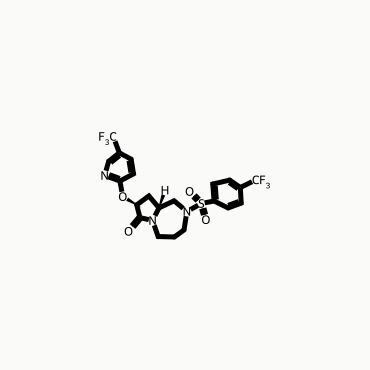 O=C1[C@@H](Oc2ccc(C(F)(F)F)cn2)C[C@@H]2CN(S(=O)(=O)c3ccc(C(F)(F)F)cc3)CCCN12